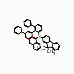 CC1(C)c2ccccc2-c2ccc(N(c3cccc(-c4ccccc4)c3-c3cccc(C4C=CC=CC4)c3)c3cccc4ccccc34)cc21